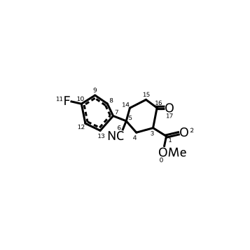 COC(=O)C1CC(C#N)(c2ccc(F)cc2)CCC1=O